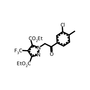 CCOC(=O)c1nn(CC(=O)c2ccc(C)c(Cl)c2)c(C(=O)OCC)c1C(F)(F)F